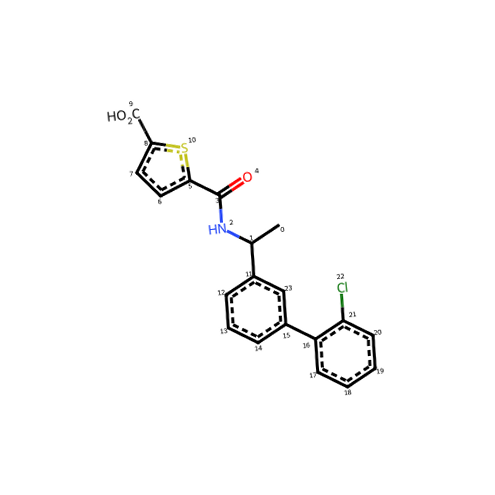 CC(NC(=O)c1ccc(C(=O)O)s1)c1cccc(-c2ccccc2Cl)c1